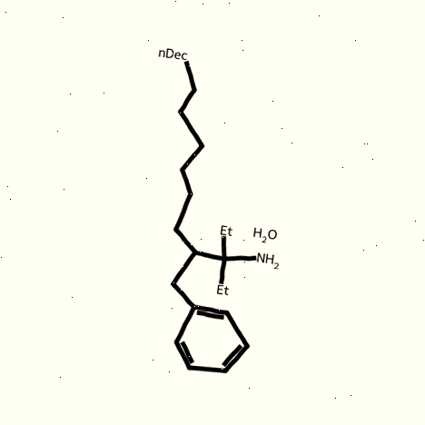 CCCCCCCCCCCCCCCCC(Cc1ccccc1)C(N)(CC)CC.O